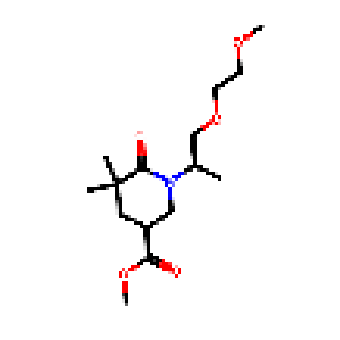 COCCOCC(C)N1CC(C(=O)OC)CC(C)(C)C1=O